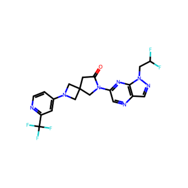 O=C1CC2(CN(c3ccnc(C(F)(F)F)c3)C2)CN1c1cnc2cnn(CC(F)F)c2n1